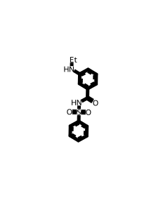 CCNc1cccc(C(=O)NS(=O)(=O)c2ccccc2)c1